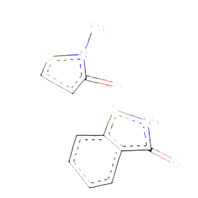 Cn1sccc1=O.O=c1[nH]sc2ccccc12